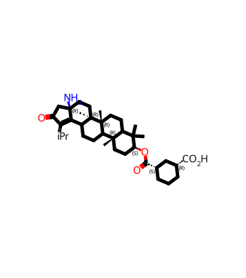 CC(C)C1=C2C3CCC4[C@@]5(C)CC[C@H](OC(=O)[C@H]6CCC[C@@H](C(=O)O)C6)C(C)(C)C5CC[C@@]4(C)[C@]3(C)CC[C@@]2(N)CC1=O